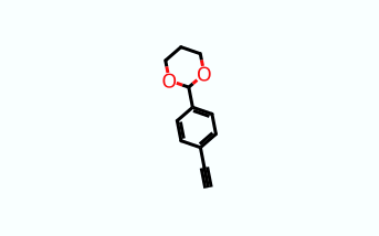 C#Cc1ccc(C2OCCCO2)cc1